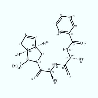 CCOC(=O)C1[C@H]2CC=C[C@H]2CN1C(=O)[C@@H](NC(=O)[C@H](NC(=O)c1cnccn1)C(C)C)C(C)C